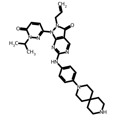 C=CCn1c(=O)c2cnc(Nc3ccc(N4CCC5(CCNCC5)CC4)cc3)nc2n1-c1ccc(=O)n(C(C)C)n1